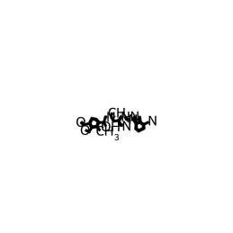 Cc1c(C(O)CN(C)Cc2cnc(-n3ncc4c(C#N)cccc43)nc2)ccc2c1COC2=O